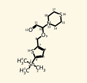 [CH3][Sn]([CH3])([CH3])[c]1ccc(COC(C=O)N2CCSCC2)s1